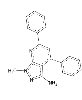 Cn1nc(N)c2c(-c3ccccc3)cc(-c3ccccc3)nc21